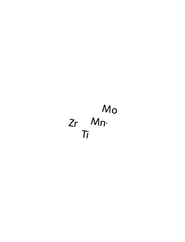 [Mn].[Mo].[Ti].[Zr]